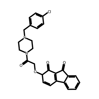 O=C1C2=C(C=CC(OCC(=O)N3CCN(Cc4ccc(Cl)cc4)CC3)C2=O)c2ccccc21